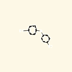 Oc1ccc(Oc2ccc(S)cc2)cc1